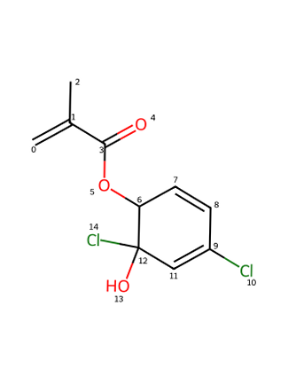 C=C(C)C(=O)OC1C=CC(Cl)=CC1(O)Cl